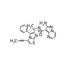 CC#Cc1csc2nc([C@H](C)NC(=O)c3c(N)nn4cccnc34)c(-c3ccccc3)n12